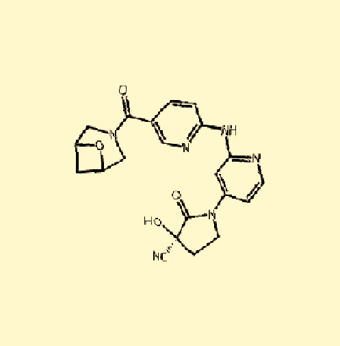 N#C[C@@]1(O)CCN(c2ccnc(Nc3ccc(C(=O)N4CC5CC(C4)O5)cn3)c2)C1=O